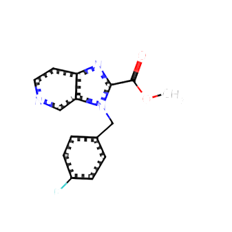 COC(=O)c1nc2ccncc2n1Cc1ccc(F)cc1